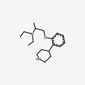 CCN(CC)C(C)COc1ccccc1C1CCNCC1